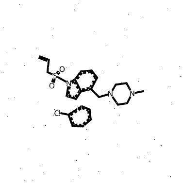 C=CCS(=O)(=O)n1ccc2c(CN3CCN(C)CC3)cccc21.Clc1ccccc1